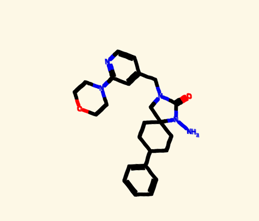 NN1C(=O)N(Cc2ccnc(N3CCOCC3)c2)CC12CCC(c1ccccc1)CC2